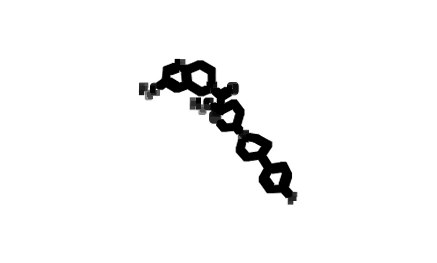 CC1(C(=O)N2CCc3ncc(C(F)(F)F)cc3C2)CCC(N2CCC(c3ccc(F)cc3)CC2)CO1